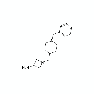 NC1CN(CC2CCN(Cc3ccccc3)CC2)C1